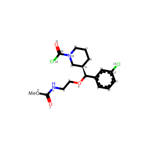 COC(=O)NCCOC(c1cccc(Cl)c1)[C@@H]1CCCN(C(=O)Cl)C1